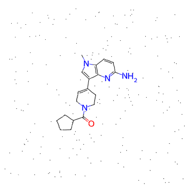 Cn1cc(C2=CCN(C(=O)C3CCCC3)CC2)c2nc(N)ccc21